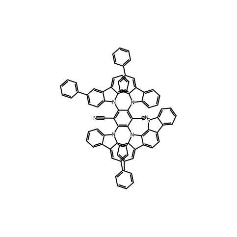 Cc1ccc2c(c1)c1ccc3c4ccccc4sc3c1n2-c1c(C#N)c(-n2c3ccccc3c3cc(-c4ccccc4)ccc32)c(-n2c3ccccc3c3cc(-c4ccccc4)ccc32)c(C#N)c1-n1c2ccccc2c2cc(-c3ccccc3)ccc21